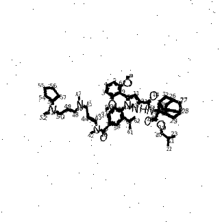 COc1cccc(OC)c1-c1cc(C(=O)NC2(C(=O)OCC(C)C)C3CC4CC(C3)CC2C4)nn1-c1ccc(C(=O)N(C)CCCN(C)CCCN(C)C2CCCC2)cc1C(C)C